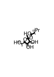 CC(C)CCOC1(CO)O[C@H](CO)[C@@H](O)[C@@H]1O